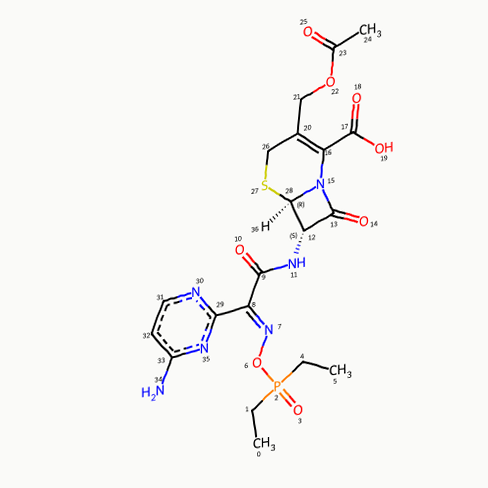 CCP(=O)(CC)ON=C(C(=O)N[C@H]1C(=O)N2C(C(=O)O)=C(COC(C)=O)CS[C@H]12)c1nccc(N)n1